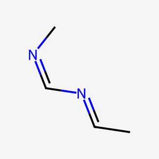 C/C=N/C=N\C